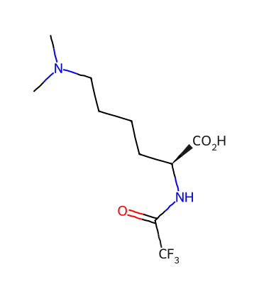 CN(C)CCCC[C@H](NC(=O)C(F)(F)F)C(=O)O